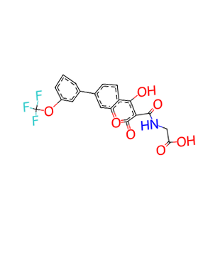 O=C(O)CNC(=O)c1c(O)c2ccc(-c3cccc(OC(F)(F)F)c3)cc2oc1=O